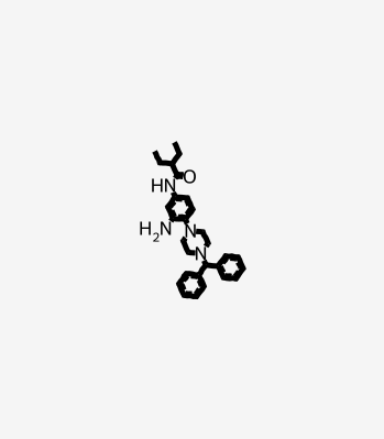 CCC(CC)C(=O)Nc1ccc(N2CCN(C(c3ccccc3)c3ccccc3)CC2)c(N)c1